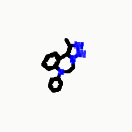 CC1=C2c3ccccc3N(c3ccccc3)CCN2NN1